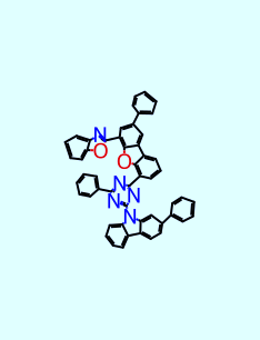 c1ccc(-c2cc(-c3nc4ccccc4o3)c3oc4c(-c5nc(-c6ccccc6)nc(-n6c7ccccc7c7ccc(-c8ccccc8)cc76)n5)cccc4c3c2)cc1